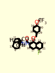 O=C(N[C@@]1(C(=O)O)CC2C[C@@H]3CC1C[C@H](C2)C3)c1ccc2c(F)cccc2c1OCc1ccc(OC(F)(F)F)cc1